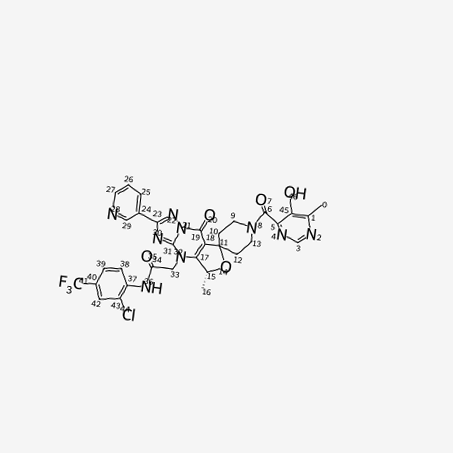 Cc1ncnc(C(=O)N2CCC3(CC2)O[C@H](C)c2c3c(=O)n3nc(-c4cccnc4)nc3n2CC(=O)Nc2ccc(C(F)(F)F)cc2Cl)c1O